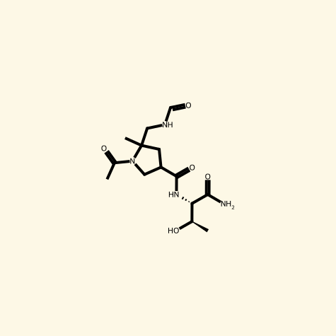 CC(=O)N1CC(C(=O)N[C@H](C(N)=O)[C@@H](C)O)CC1(C)CNC=O